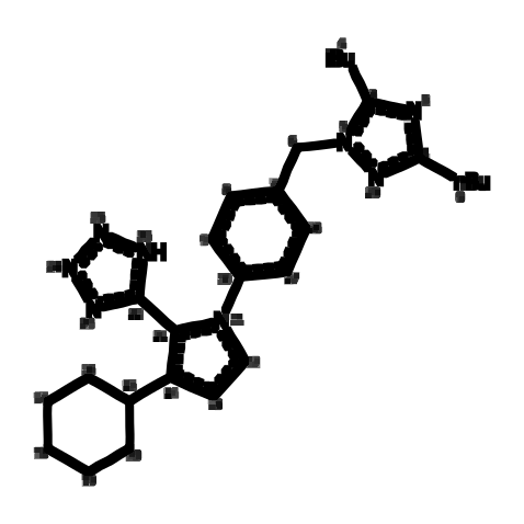 CCCCc1nc(C(C)CC)n(Cc2ccc(-n3ccc(C4CCCCC4)c3-c3nnn[nH]3)cc2)n1